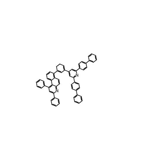 C1=C(c2cc(-c3ccc(-c4ccccc4)cc3)nc(-c3ccc(-c4ccccc4)cc3)c2)C=C(c2cccc3c2ccc2nc(-c4ccccc4)cc(-c4ccccc4)c23)CC1